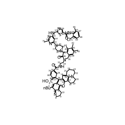 CCCCc1cc2c(c3c1=NCCC3)Oc1c(cc3c4c1CCCN4CCCC3)C=2c1cc(C(=O)NCCN(Cc2cc(C)c(C)c(C)c2)C(=O)CN2CCN(c3cc(Nc4ncc(C(=O)Nc5c(C)cccc5Cl)s4)nc(C)n3)CC2)ccc1C(=O)O